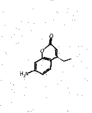 CCc1cc(=O)oc2cc(N)ccc12